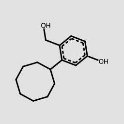 OCc1ccc(O)cc1C1CCCCCCC1